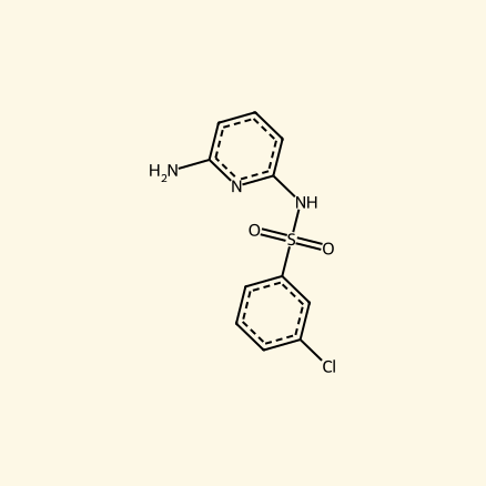 Nc1cccc(NS(=O)(=O)c2cccc(Cl)c2)n1